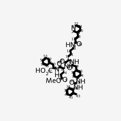 COC(=O)CC[C@H](NC(=O)[C@H](CCCCNC(=O)/C=C/c1cccnc1)NC(=O)Cc1ccc(NC(=O)Nc2ccccc2C)cc1)C(=O)N[C@@H](Cc1ccccc1)C(=O)O